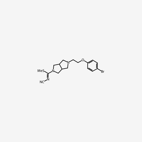 CS/C(=N\C#N)N1CC2CN(CCOc3ccc(Br)cc3)CC2C1